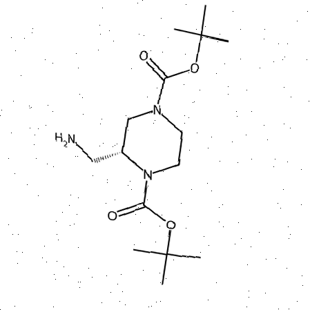 CC(C)(C)OC(=O)N1CCN(C(=O)OC(C)(C)C)[C@H](CN)C1